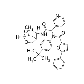 CC1CC2CO[C@H]1OC[C@H]2NC(=O)C(c1cccnc1)N(C(=O)c1ccc(-c2ccccc2)o1)c1ccc(C(C)(C)C)cc1